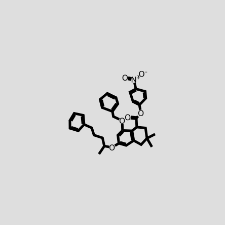 CC(CCCc1ccccc1)Oc1cc2c(c(OCc3ccccc3)c1)C(C(=O)Oc1ccc([N+](=O)[O-])cc1)CC(C)(C)C2